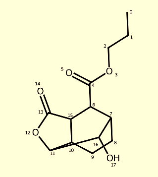 CCCOC(=O)C1C2CCC3C(OC(=O)C31)C2O